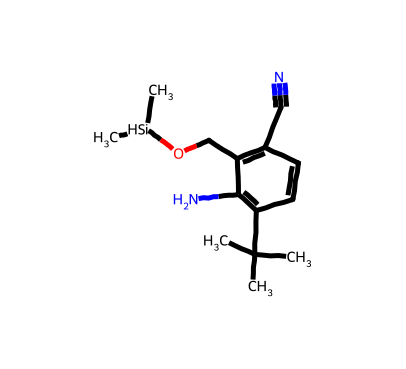 C[SiH](C)OCc1c(C#N)ccc(C(C)(C)C)c1N